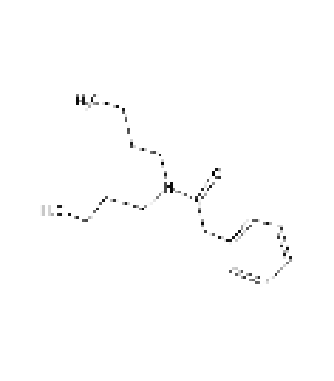 CCCCN(CCCC)C(=O)Cc1ccccc1